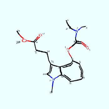 CCN(C)C(=O)Oc1cccc2c1c(CCC(=O)OC)cn2C